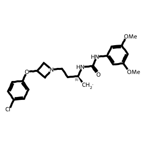 [CH2][C@@H](CCN1CC(Oc2ccc(Cl)cc2)C1)NC(=O)Nc1cc(OC)cc(OC)c1